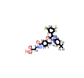 C[C@H](c1ccc(C(=O)NCCC(=O)O)cc1)N1C(=O)C(c2cc(F)cc(F)c2)=NC12CCC(C(C)(C)C)CC2